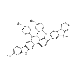 CC(C)(C)c1ccc(N2B3c4cc(C(C)(C)C)ccc4-n4c5cc6c(cc5c5ccc(c3c54)-c3cc4oc5cc(C(C)(C)C)ccc5c4cc32)C(C)(C)c2ccccc2-6)cc1